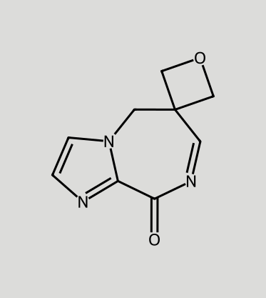 O=C1N=CC2(COC2)Cn2ccnc21